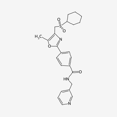 Cc1oc(-c2ccc(C(=O)NCc3cccnc3)cc2)nc1CS(=O)(=O)C1CCCCC1